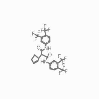 O=C(Nc1ccc(C(F)(F)F)c(C(F)(F)F)c1)C(C(=O)Nc1ccc(C(F)(F)F)c(C(F)(F)F)c1)C1C=CCC1